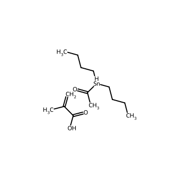 C=C(C)C(=O)O.CCC[CH2][SnH]([CH2]CCC)[C](C)=O